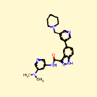 CN(C)c1cncc(NC(=O)c2n[nH]c3ccc(-c4cncc(CN5CCCCC5)c4)cc23)c1